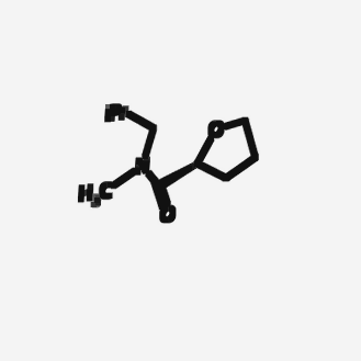 CC(C)CN(C)C(=O)[C@@H]1CCCO1